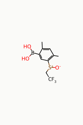 Cc1cc(C)c([S+]([O-])CC(F)(F)F)cc1B(O)O